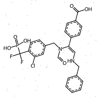 O=CN(Cc1ccc(C(F)(F)P(=O)(O)O)c(Cl)c1)/C(=C\NCc1ccccc1)c1ccc(C(=O)O)cc1